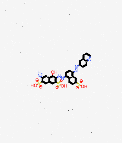 Nc1cc2c(O)c(N=Nc3ccc(N=Nc4ccc5ncccc5c4)c4cc(S(=O)(=O)O)ccc34)c(S(=O)(=O)O)cc2cc1S(=O)(=O)O